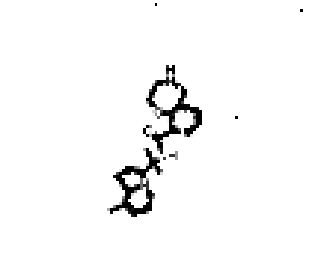 Cc1cccn2c(C(C)(C)NC(=O)c3cccc4c3OCCNC4)ccc12